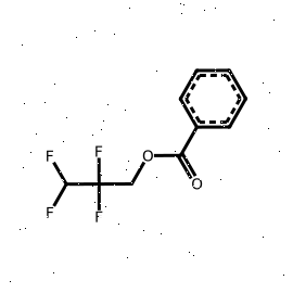 O=C(OCC(F)(F)C(F)F)c1ccccc1